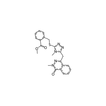 COC(=O)c1ccccc1CSc1nnc(Cc2nn(C)c(=O)c3ccccc23)n1C